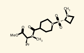 COC(=O)[C@H](C(C)C)N(C)C(=O)C1CCN(S(=O)(=O)[C@H]2CCN2C)CC1